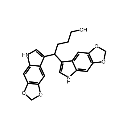 OCCCC(c1c[nH]c2cc3c(cc12)OCO3)c1c[nH]c2cc3c(cc12)OCO3